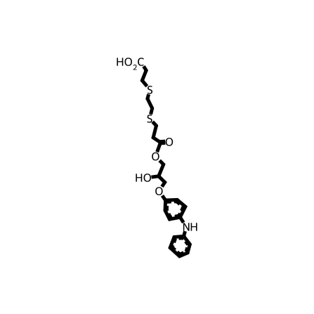 O=C(O)CCSCCSCCC(=O)OCC(O)COc1ccc(Nc2ccccc2)cc1